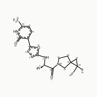 CC(C)[C@@H](Nc1nnc(-c2ccc(C(F)(F)F)[nH]c2=O)o1)C(=O)N1CCC2(C1)CC2(F)F